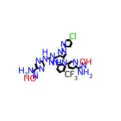 N/C(=N\O)c1cnc(Nc2nc(-c3nn(-c4ccc(Cl)cn4)cc3Nc3ccc(/C(N)=N\O)nc3)n(-c3ccc(C(F)(F)F)cc3)n2)cn1